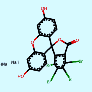 O=C1OC2(c3ccc(O)cc3Oc3cc(O)ccc32)c2c(Br)c(Br)c(Br)c(Br)c21.[NaH].[NaH]